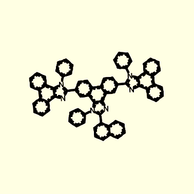 c1ccc(-n2c(-c3ccc4c5ccc(-c6nc7c8ccccc8c8ccccc8c7n6-c6ccccc6)cc5c5c(nc(-c6cccc7ccccc67)n5-c5ccccc5)c4c3)nc3c4ccccc4c4ccccc4c32)cc1